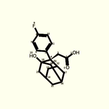 O=C(O)C[C@@]1(c2ccc(F)cc2)C2CC3CC(C2)CC1(O)C3